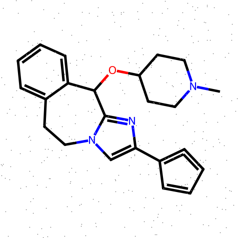 CN1CCC(OC2c3ccccc3CCn3cc(C4=C=CC=C4)nc32)CC1